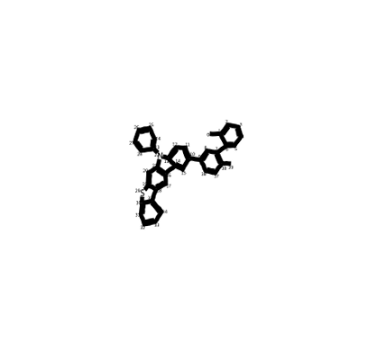 Cc1ccccc1-c1cc(-c2ccc3c(c2)c2cc4c(cc2n3-c2ccccc2)sc2ccccc24)ccc1C